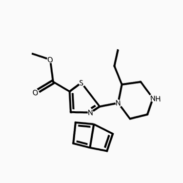 CCC1CNCCN1c1ncc(C(=O)OC)s1.c1cc2ccc1-2